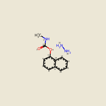 CNC(=O)Oc1cccc2ccccc12.NN